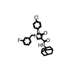 O=C(NC12CC3CC(CC(C3)C1)C2)c1cn(Cc2cccc(F)c2)n(-c2ccc(Cl)cc2)c1=O